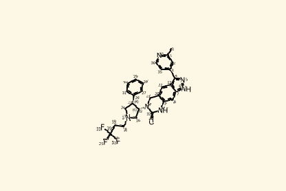 Cc1cc(-c2n[nH]c3cc4c(cc23)CN([C@@H]2CN(CCC(F)(F)F)C[C@H]2c2ccccc2)C(=O)N4)ccn1